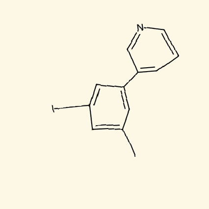 Cc1cc(I)cc(-c2cccnc2)c1